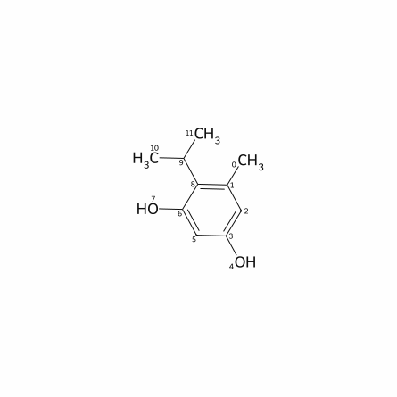 Cc1cc(O)cc(O)c1C(C)C